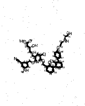 CNc1cc(C#N)cc(COc2nc(OCc3cccc(-c4cccc(-c5ccc(OCCNCCO)cc5)c4Cl)c3Cl)c(Cl)cc2CNC[C@@H](O)CC(=O)O)c1